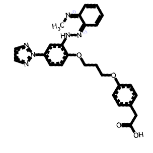 C/N=C1/C=CC=C/C1=N/Nc1cc(-n2nccn2)ccc1OCCCOc1ccc(CC(=O)O)cc1